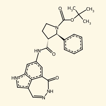 CC(C)(C)OC(=O)N1CC[C@@H](C(=O)Nc2cc3c4c(c[nH]c4c2)C=NNC3=O)[C@@H]1c1ccccc1